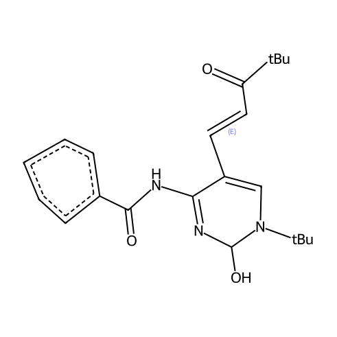 CC(C)(C)C(=O)/C=C/C1=CN(C(C)(C)C)C(O)N=C1NC(=O)c1ccccc1